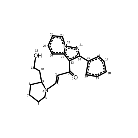 O=C(C=CN1CCCCC1CCO)c1c(-c2ccccc2)nn2ccccc12